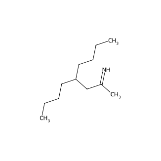 CCCCC(CCCC)CC(C)=N